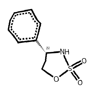 O=S1(=O)N[C@@H](c2ccccc2)CO1